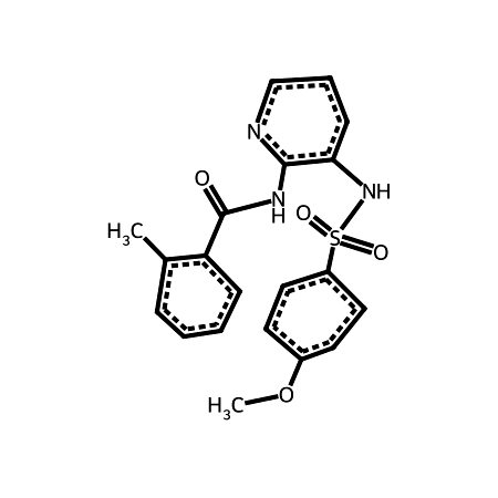 COc1ccc(S(=O)(=O)Nc2cccnc2NC(=O)c2ccccc2C)cc1